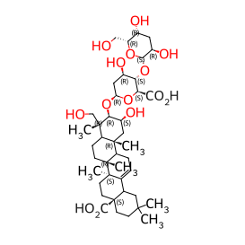 CC1(C)CC[C@]2(C(=O)O)CC[C@]3(C)C(=CCC4[C@@]5(C)C[C@H](O)[C@H](O[C@H]6C[C@@H](O)[C@H](O[C@@H]7O[C@H](CO)[C@H](O)C[C@H]7O)[C@@H](C(=O)O)O6)[C@@](C)(CO)C5CC[C@]43C)C2C1